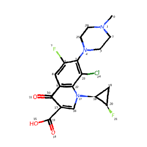 CN1CCN(c2c(F)cc3c(=O)c(C(=O)O)cn([C@H]4C[C@H]4F)c3c2Cl)CC1